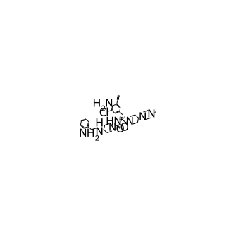 C#Cc1cc(C[C@@H](NC(=O)N2CCC(NCCc3ccccc3N)CC2)C(=O)N2CCC(N3CCN(C)CC3)CC2)cc(Cl)c1N